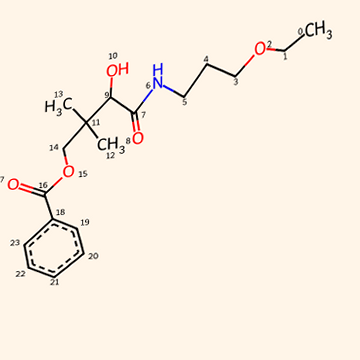 CCOCCCNC(=O)C(O)C(C)(C)COC(=O)c1ccccc1